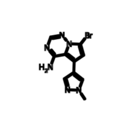 Cn1cc(-c2cc(Br)n3ncnc(N)c23)cn1